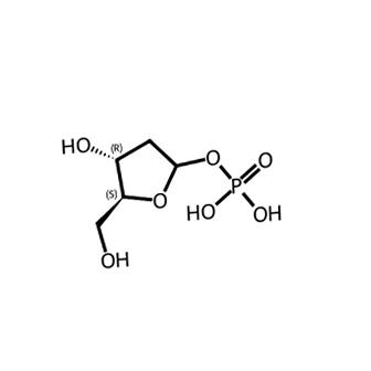 O=P(O)(O)OC1C[C@@H](O)[C@H](CO)O1